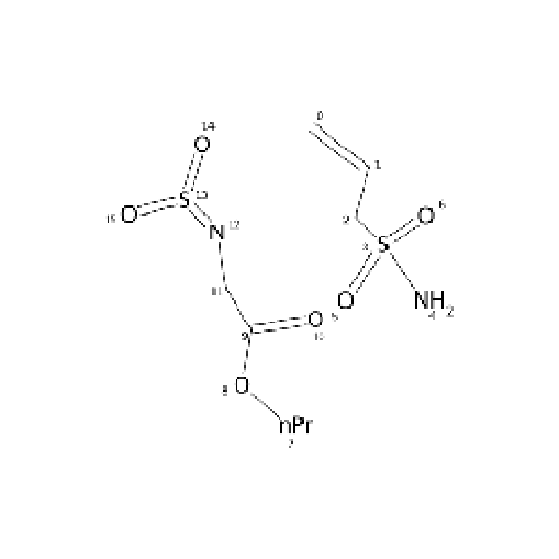 C=CCS(N)(=O)=O.CCCOC(=O)CN=S(=O)=O